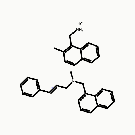 CN(C/C=C/c1ccccc1)Cc1cccc2ccccc12.Cc1ccc2ccccc2c1CN.Cl